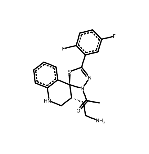 CC(=O)N1N=C(c2cc(F)ccc2F)S[C@@]12c1ccccc1NC[C@H]2CCN